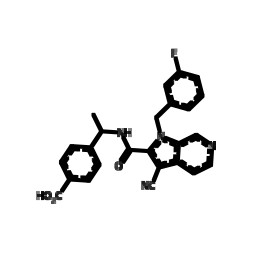 CC(NC(=O)c1c(C#N)c2ccncc2n1Cc1cccc(F)c1)c1ccc(C(=O)O)cc1